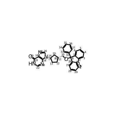 COc1ccccc1C(OC[C@@H]1CC[C@H](n2cnc3c(=O)[nH]cnc32)C1)(c1ccccc1)c1ccccc1